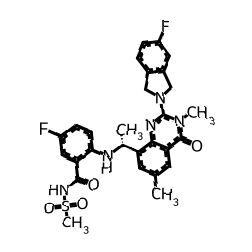 Cc1cc([C@@H](C)Nc2ccc(F)cc2C(=O)NS(C)(=O)=O)c2nc(N3Cc4ccc(F)cc4C3)n(C)c(=O)c2c1